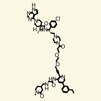 CCc1cccc(-c2cnc(C#CCOCCOCCC(=O)N3CCN(CC[C@H](NC(=O)C4(N)CCN(c5ncnc6[nH]ccc56)CC4)c4ccc(Cl)cc4)CC3)c(NC(=O)CNCC3CCN(C)C(=O)C3)c2)c1